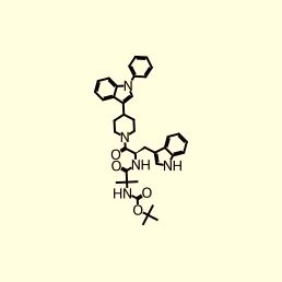 CC(C)(C)OC(=O)NC(C)(C)C(=O)N[C@H](Cc1c[nH]c2ccccc12)C(=O)N1CCC(c2cn(-c3ccccc3)c3ccccc23)CC1